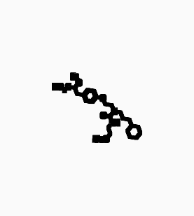 CCOC(Cc1ccc(OCCN(CCCC2CCCCC2)C(=O)NCCOC)cc1)C(=O)O